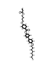 C=CC(=O)OCCCCOc1ccc(C(=O)Oc2ccc(-c3ccc(OCCCCCCCC)cc3)cc2)cc1